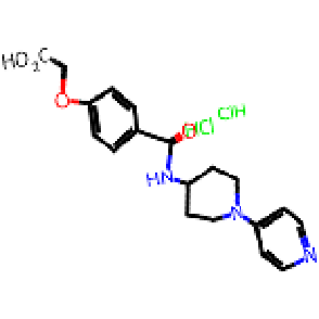 Cl.Cl.O=C(O)COc1ccc(C(=O)NC2CCN(c3ccncc3)CC2)cc1